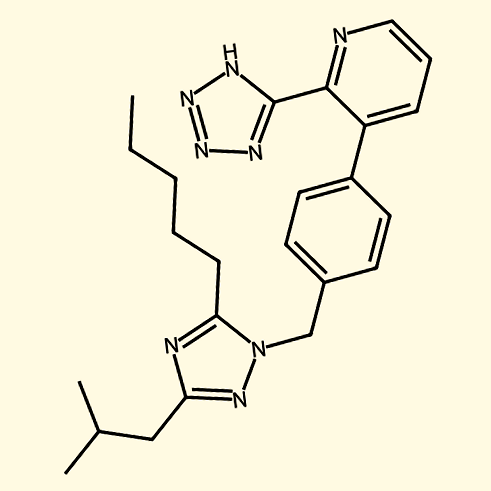 CCCCCc1nc(CC(C)C)nn1Cc1ccc(-c2cccnc2-c2nnn[nH]2)cc1